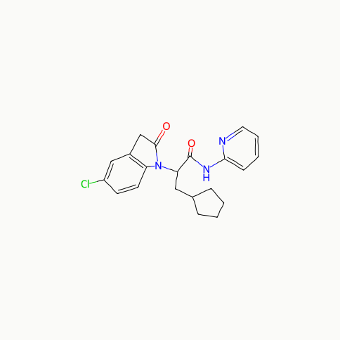 O=C(Nc1ccccn1)C(CC1CCCC1)N1C(=O)Cc2cc(Cl)ccc21